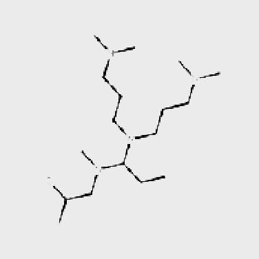 CCC(N(C)CC(C)O)N(CCCN(C)C)CCCN(C)C